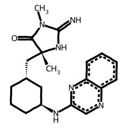 CN1C(=N)N[C@](C)(C[C@H]2CCC[C@H](Nc3cnc4ccccc4n3)C2)C1=O